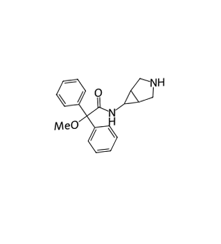 COC(C(=O)NC1C2CNCC21)(c1ccccc1)c1ccccc1